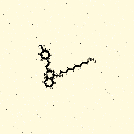 NCCCCCCCCNc1nc(/C=C/c2ccc(Cl)cc2)nc2ccccc12